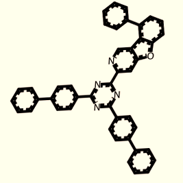 c1ccc(-c2ccc(-c3nc(-c4ccc(-c5ccccc5)cc4)nc(-c4cc5oc6cccc(-c7ccccc7)c6c5cn4)n3)cc2)cc1